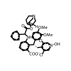 COc1ccc([C@H](Cc2c(Cl)c[n+](O)cc2Cl)c2c(NC(C(=O)O[C@H]3CN4CCC3CC4)c3ccccc3)cccc2C(=O)[O-])cc1OC